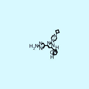 Nc1ncc(-c2cc(N3C[C@@H]4CC[C@H]3CO4)nc(N3CCN(C4CCC4)CC3)n2)cn1